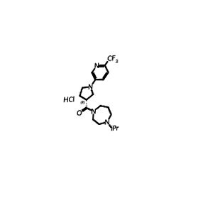 CC(C)N1CCCN(C(=O)[C@@H]2CCN(c3ccc(C(F)(F)F)nc3)C2)CC1.Cl